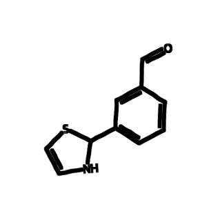 O=Cc1cccc(C2NC=CS2)c1